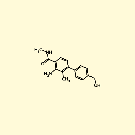 CNC(=O)c1ccc(-c2ccc(CO)cc2)c(C)c1N